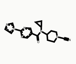 N#CN1CCC(N(C(=O)c2cnc(-n3ccnc3)nc2)C2CC2)CC1